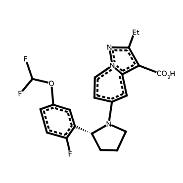 CCc1nn2ccc(N3CCC[C@@H]3c3cc(OC(F)F)ccc3F)cc2c1C(=O)O